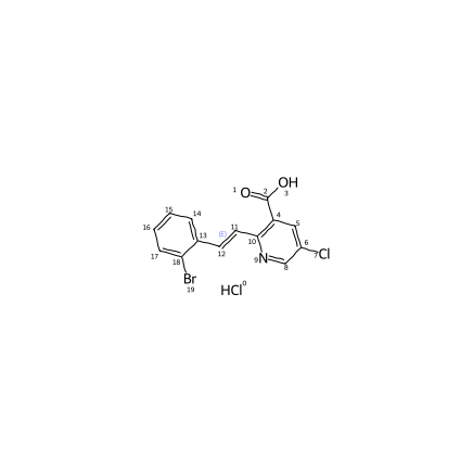 Cl.O=C(O)c1cc(Cl)cnc1/C=C/c1ccccc1Br